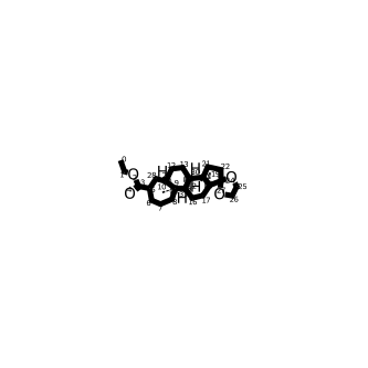 CCOC(=O)C1CCC[C@@]2(C)[C@@H](CC[C@@H]3[C@@H]2CC[C@@]2(C)[C@H]3CCC23OCCO3)C1